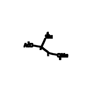 COCC(OC(C)=O)C(C)(C)C